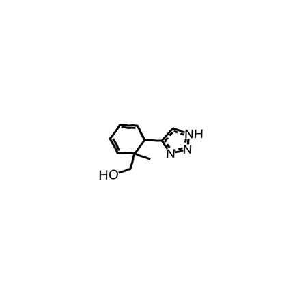 CC1(CO)C=CC=CC1c1c[nH]nn1